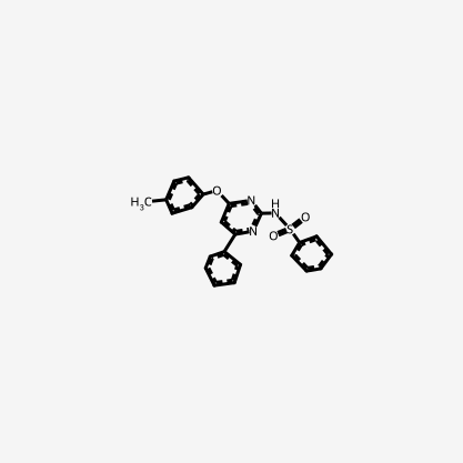 Cc1ccc(Oc2cc(-c3ccccc3)nc(NS(=O)(=O)c3ccccc3)n2)cc1